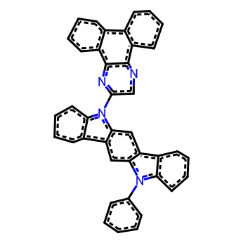 c1ccc(-n2c3ccccc3c3cc4c(cc32)c2ccccc2n4-c2cnc3c4ccccc4c4ccccc4c3n2)cc1